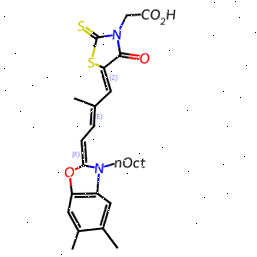 CCCCCCCCN1\C(=C/C=C(C)/C=C2\SC(=S)N(CC(=O)O)C2=O)Oc2cc(C)c(C)cc21